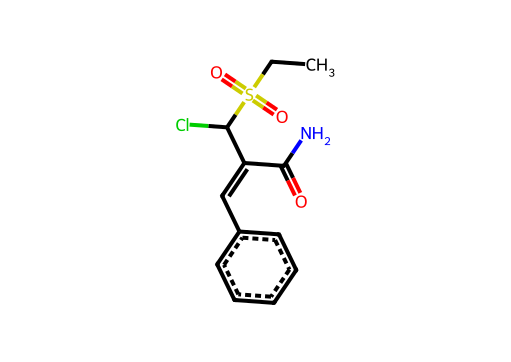 CCS(=O)(=O)C(Cl)/C(=C/c1ccccc1)C(N)=O